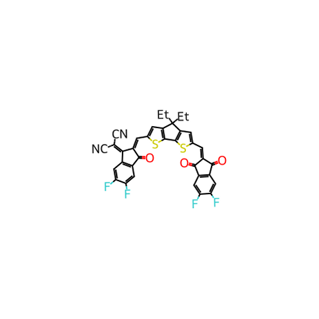 CCC1(CC)c2cc(C=C3C(=O)c4cc(F)c(F)cc4C3=O)sc2-c2sc(/C=C3\C(=O)c4cc(F)c(F)cc4C3=C(C#N)C#N)cc21